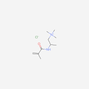 C=C(C)C(=O)NC(C)C[N+](C)(C)C.[Cl-]